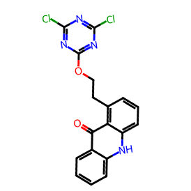 O=c1c2ccccc2[nH]c2cccc(CCOc3nc(Cl)nc(Cl)n3)c12